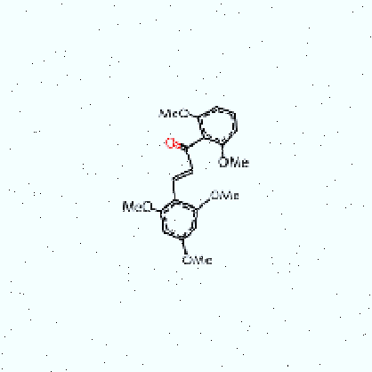 COc1cc(OC)c(C=CC(=O)c2c(OC)cccc2OC)c(OC)c1